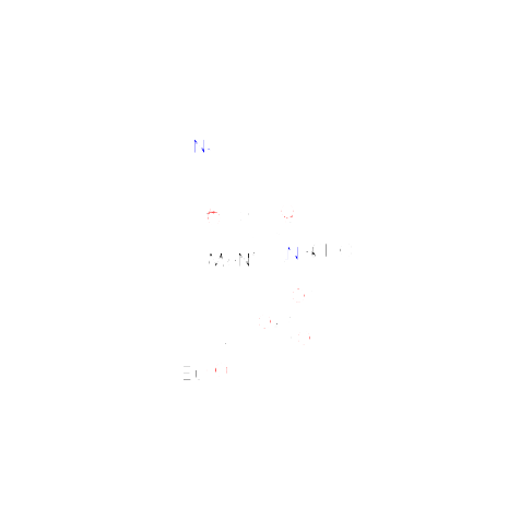 CCOCCOC(=O)OCN(C=O)C(=O)C(NC)c1cc2cnccc2o1